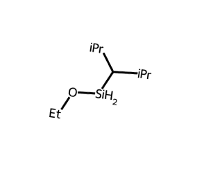 CCO[SiH2]C(C(C)C)C(C)C